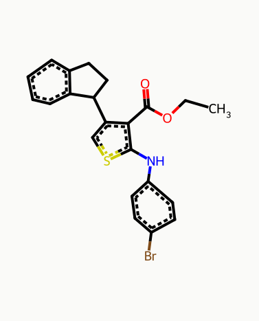 CCOC(=O)c1c(C2CCc3ccccc32)csc1Nc1ccc(Br)cc1